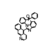 O=P1(c2ccccc2)c2ccccc2-n2c(-c3c4ccccc4cc4ncccc34)nc3cccc1c32